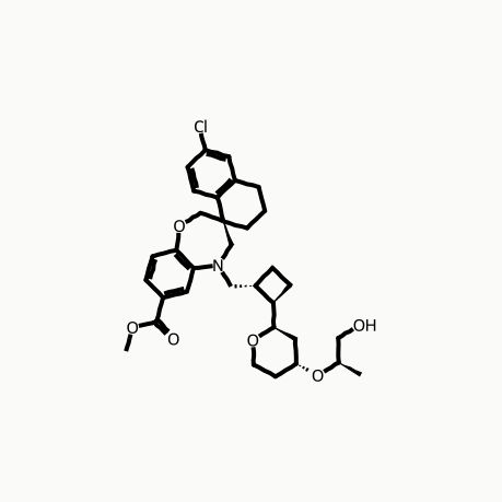 COC(=O)c1ccc2c(c1)N(C[C@@H]1CC[C@H]1[C@H]1C[C@H](O[C@H](C)CO)CCO1)C[C@@]1(CCCc3cc(Cl)ccc31)CO2